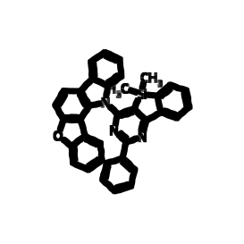 C[Si]1(C)c2ccccc2-c2nc(-c3ccccc3)nc(-n3c4ccccc4c4ccc5oc6ccccc6c5c43)c21